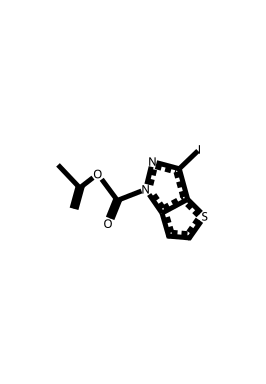 C=C(C)OC(=O)n1nc(I)c2sccc21